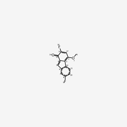 COC1=C2C(=Cc3cc(F)ccc32)C(=O)C(F)=C1